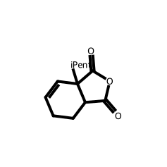 CCCC(C)C12C=CCCC1C(=O)OC2=O